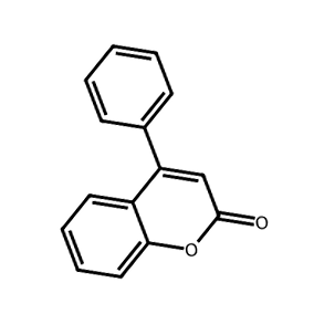 O=c1cc(-c2ccccc2)c2ccccc2o1